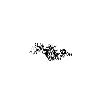 [N-]=[N+]=N[C@H]1[C@H]2OP(=O)(O)OC[C@H]3O[C@@H](n4cnc5c(O)ccnc54)[C@H](O)[C@@H]3OP(=O)(O)OC[C@H]1O[C@H]2n1cnc2c(=O)[nH]c(N)nc21